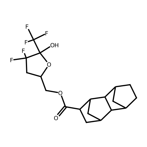 O=C(OCC1CC(F)(F)C(O)(C(F)(F)F)O1)C1CC2CC1C1C3CCC(C3)C21